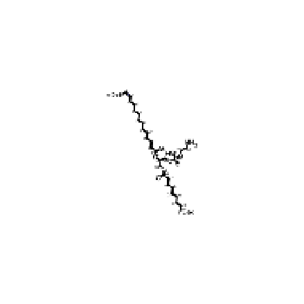 CCCCCCCC/C=C\CCCCCCCCCCCC(=O)O[C@H](COC(=O)CCCCCCCCCCCCCCCCC)COP(=O)(O)OCCN